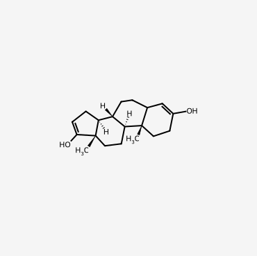 C[C@]12CCC(O)=CC1CC[C@@H]1[C@@H]2CC[C@]2(C)C(O)=CC[C@@H]12